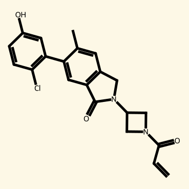 C=CC(=O)N1CC(N2Cc3cc(C)c(-c4cc(O)ccc4Cl)cc3C2=O)C1